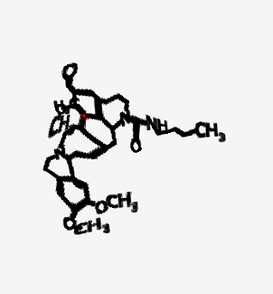 CCCCNC(=O)N1CCc2cc(C=O)c(OC)cc2C1CC1CC2c3cc(OC)c(OC)cc3CCN2CC1CC